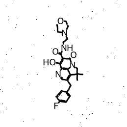 CC1(C)Cn2c(=O)c(C(=O)NCCN3CCOCC3)c(O)c3ncc(Cc4ccc(F)cc4)c1c32